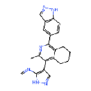 C=Nc1[nH]ncc1-c1c(C)nc(-c2ccc3[nH]ncc3c2)c2c1CCCC2